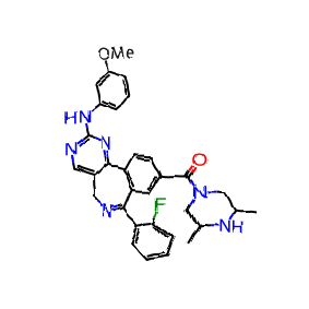 COc1cccc(Nc2ncc3c(n2)-c2ccc(C(=O)N4CC(C)NC(C)C4)cc2C(c2ccccc2F)=NC3)c1